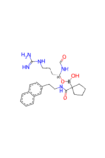 N=C(N)NCCC[C@H](NC=O)OB(O)C1(C(=O)NCCc2ccc3ccccc3c2)CCCC1